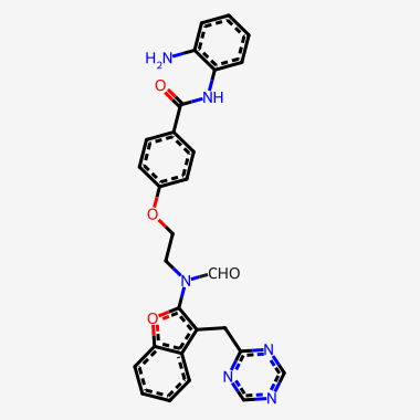 Nc1ccccc1NC(=O)c1ccc(OCCN(C=O)c2oc3ccccc3c2Cc2ncncn2)cc1